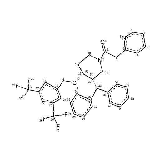 O=C(Cc1ccccn1)N1CC[C@@H](OCc2cc(C(F)(F)F)cc(C(F)(F)F)c2)[C@@H](C(c2ccccc2)c2ccccc2)C1